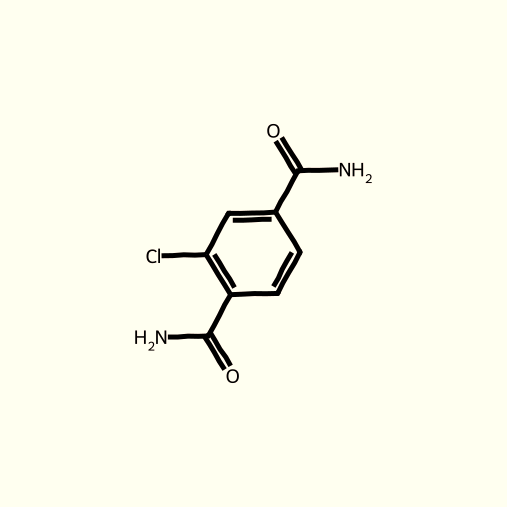 NC(=O)c1ccc(C(N)=O)c(Cl)c1